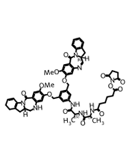 COc1cc2c(cc1OCc1cc(COc3cc4c(cc3OC)C(=O)N3C5=C(CCC=C5)C[C@H]3CN4)cc(NC(=O)[C@H](C)NC(=O)[C@H](C)NC(=O)CCCCC(=O)ON3C(=O)CCC3=O)c1)N=C[C@H]1Cc3ccccc3N1C2=O